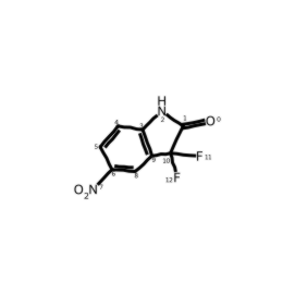 O=C1Nc2ccc([N+](=O)[O-])cc2C1(F)F